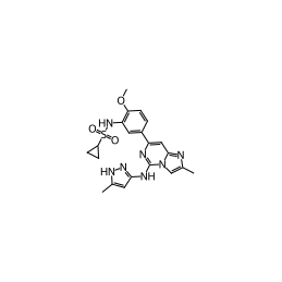 COc1ccc(-c2cc3nc(C)cn3c(Nc3cc(C)[nH]n3)n2)cc1NS(=O)(=O)C1CC1